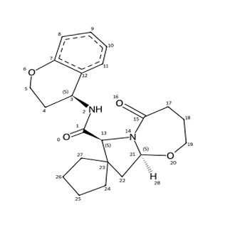 O=C(N[C@H]1CCOc2ccccc21)[C@H]1N2C(=O)CCCO[C@H]2CC12CCCC2